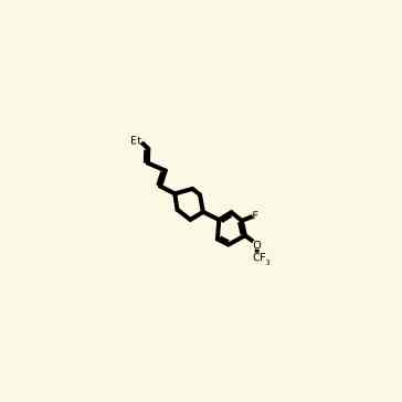 CC/C=C/C=C/C1CCC(c2ccc(OC(F)(F)F)c(F)c2)CC1